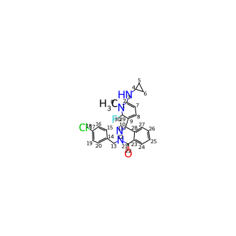 CN1C(NC2CC2)=CC=C(c2nn(Cc3ccc(Cl)cc3)c(=O)c3ccccc23)C1F